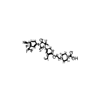 CCc1cc(N2C(=S)N(c3ccc(C#N)c(C(F)(F)F)c3)C(=O)C2(C)C)cnc1OCCN1CCN(C(=O)O)CC1